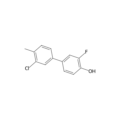 Cc1ccc(-c2ccc(O)c(F)c2)cc1Cl